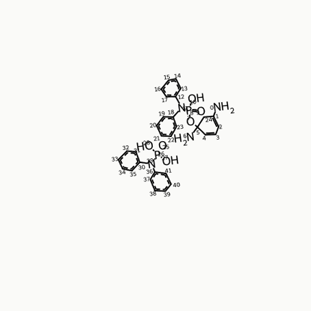 NC1=CC=CC(N)(OP(=O)(O)N(c2ccccc2)c2ccccc2)C1.O=P(O)(O)N(c1ccccc1)c1ccccc1